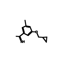 CC(=N)c1cc(C)cc(OCC2CC2)c1